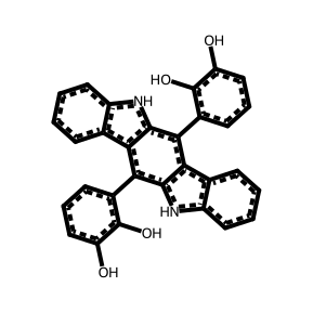 Oc1cccc(-c2c3[nH]c4ccccc4c3c(-c3cccc(O)c3O)c3[nH]c4ccccc4c23)c1O